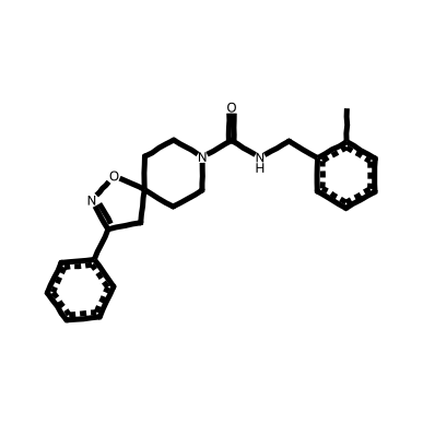 Cc1ccccc1CNC(=O)N1CCC2(CC1)CC(c1ccccc1)=NO2